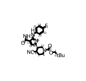 CC(C)(C)COC(=O)N1CCC(C#N)[C@H](n2cc(C(N)=O)c(Nc3ccc(F)cc3)n2)C1